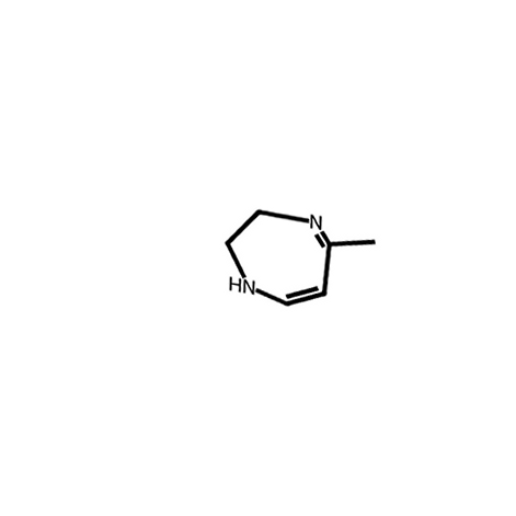 CC1=NCCNC=C1